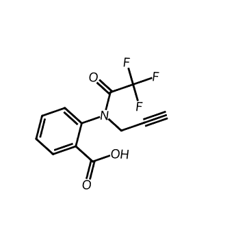 C#CCN(C(=O)C(F)(F)F)c1ccccc1C(=O)O